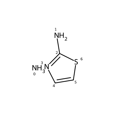 N.Nc1nccs1